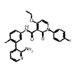 CCOc1ccn(-c2ccc(F)cc2)c(=O)c1C(=O)Nc1ccc(C)c(-c2cccnc2N)c1